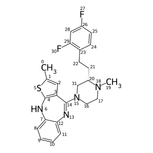 Cc1cc2c(s1)Nc1ccccc1N=C2N1CCN(C)[C@@H](CCc2ccc(F)cc2F)C1